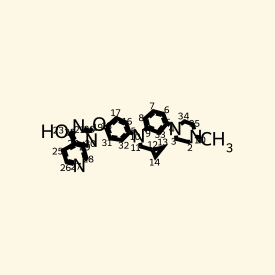 CN1CCN(c2cccc(N(CC3CC3)c3ccc(Oc4nc(O)c5ccncc5n4)cc3)c2)CC1